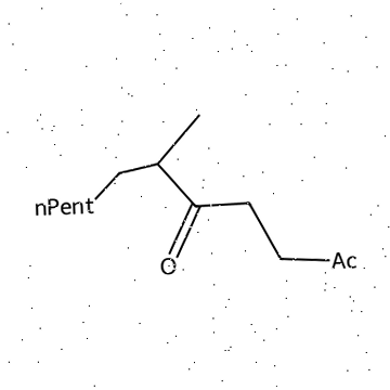 CCCCCCC(C)C(=O)CCC(C)=O